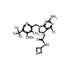 [2H]C([2H])([2H])c1cnc(CN2C[C@H](CC(=O)NC3COC3)c3c(Cl)nc(N)nc32)c(C)c1OC